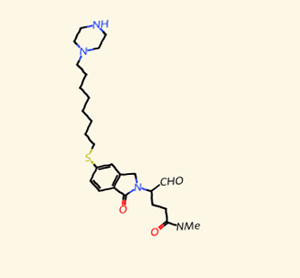 CNC(=O)CCC(C=O)N1Cc2cc(SCCCCCCCCN3CCNCC3)ccc2C1=O